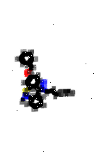 COCCCNC1c2ccc(OCc3ccccc3)cc2SN(C)c2ccccc21